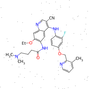 CCOc1cc2ncc(C#N)c(Nc3ccc(OCc4ncccc4C)cc3F)c2cc1NC(=O)CCCN(C)C